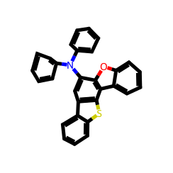 c1ccc(N(c2ccccc2)c2cc3c4ccccc4sc3c3c2oc2ccccc23)cc1